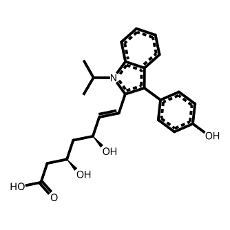 CC(C)n1c(C=C[C@@H](O)C[C@@H](O)CC(=O)O)c(-c2ccc(O)cc2)c2ccccc21